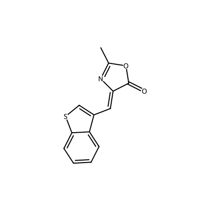 CC1=N/C(=C\c2csc3ccccc23)C(=O)O1